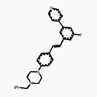 CC(C)CN1CCN(c2ccc(/C=C/c3cc(F)cc(-c4ccncc4)c3)cc2)CC1